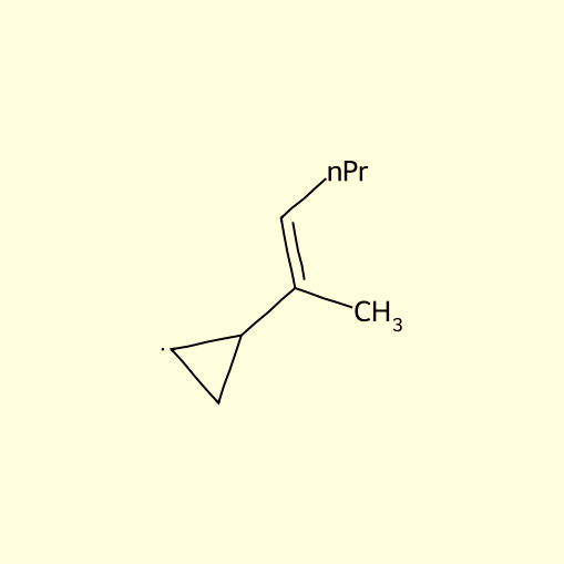 CCCC=C(C)C1[CH]C1